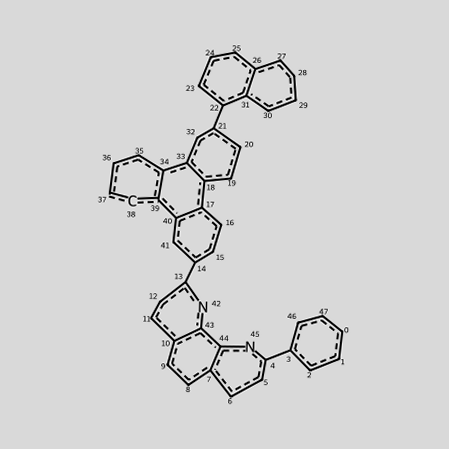 c1ccc(-c2ccc3ccc4ccc(-c5ccc6c7ccc(-c8cccc9ccccc89)cc7c7ccccc7c6c5)nc4c3n2)cc1